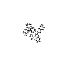 C=CC=CC(C=Cc1ccccc1)=Cc1ccccc1.C=Cc1ccccc1.CC1CCC(=Cc2ccccc2)C1